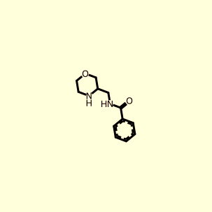 O=C(NCC1COCCN1)c1ccccc1